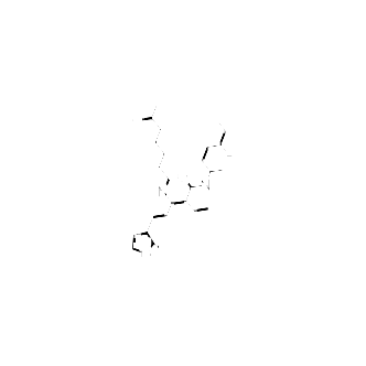 C=C/C(C(=O)NC(C)/C=C\C(F)=C/C)=C(\C=C\c1ccon1)/N=C/CCCCC(C)=O